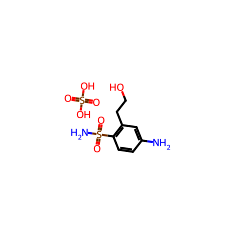 Nc1ccc(S(N)(=O)=O)c(CCO)c1.O=S(=O)(O)O